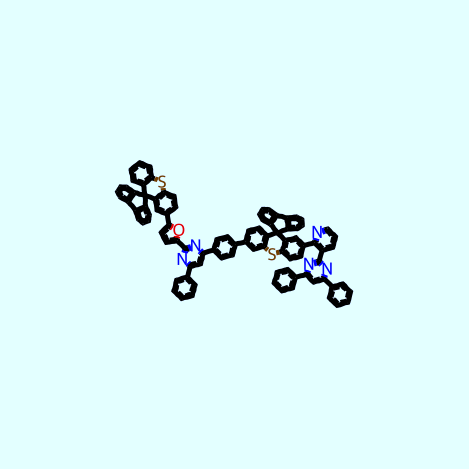 c1ccc(-c2cc(-c3ccc(-c4ccc5c(c4)Sc4ccc(-c6ncccc6-c6nc(-c7ccccc7)cc(-c7ccccc7)n6)cc4C54c5ccccc5-c5ccccc54)cc3)nc(-c3ccc(-c4ccc5c(c4)C4(c6ccccc6S5)c5ccccc5-c5ccccc54)o3)n2)cc1